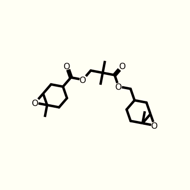 CC(C)(COC(=O)C1CCC2(C)OC2C1)C(=O)OCC1CCC2(C)OC2C1